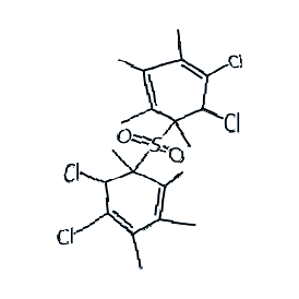 CC1=C(Cl)C(Cl)C(C)(S(=O)(=O)C2(C)C(C)=C(C)C(C)=C(Cl)C2Cl)C(C)=C1C